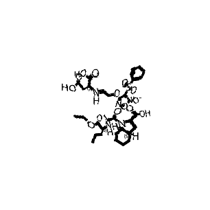 CCC[C@H](N[C@@H](C)C(=O)N1C(C(=O)O)C[C@@H]2CCCC[C@@H]21)C(=O)OCC.O=C(O)C[C@H](NCCOc1no[n+]([O-])c1S(=O)(=O)c1ccccc1)C(=O)O